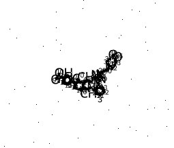 CC1(C)C(c2ccc(C(=O)O)cc2)=CC[C@]2(C)CN(c3ccccc3-c3nnn(CCN4CCS(=O)(=O)CC4)n3)CC=C12